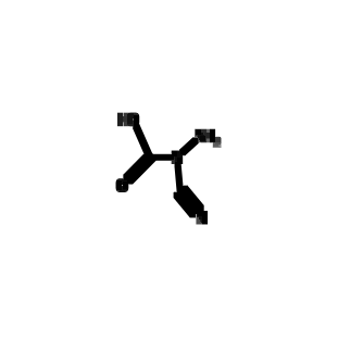 N#CN(N)C(=O)O